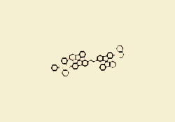 C1=CC2c3ccccc3C3(c4cc(/C=C/c5ccc6c(c5)C5(C7=C(CCC=C7)c7ccccc75)c5cc(N7CCCC8=C7CCC=C8)ccc5-6)ccc4-c4ccc(N5C6=C(C=CCC6)N(c6ccccc6)c6ccccc65)cc43)C2C=C1